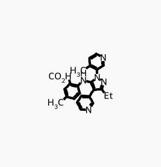 CCc1nn(-c2cnccc2C)c(Nc2ccc(C)cc2C(=O)O)c1-c1cccnc1